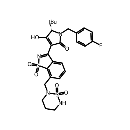 CC(C)(C)[C@H]1C(O)=C(C2=NS(=O)(=O)c3c(CN4CCCNS4(=O)=O)cccc32)C(=O)N1Cc1ccc(F)cc1